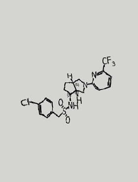 O=S(=O)(Cc1ccc(Cl)cc1)N[C@H]1CC[C@@H]2CN(c3cccc(C(F)(F)F)n3)C[C@@H]21